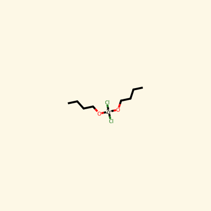 CCCC[O][Zr]([Cl])([Cl])[O]CCCC